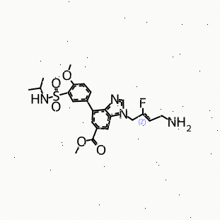 COC(=O)c1cc(-c2ccc(OC)c(S(=O)(=O)NC(C)C)c2)c2ncn(C/C(F)=C/CN)c2c1